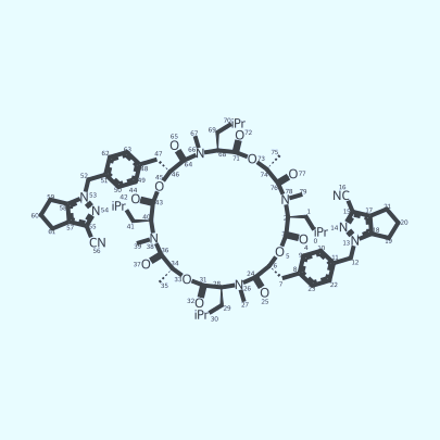 CC(C)C[C@H]1C(=O)O[C@H](Cc2ccc(Cn3nc(C#N)c4c3CCC4)cc2)C(=O)N(C)[C@@H](CC(C)C)C(=O)O[C@H](C)C(=O)N(C)[C@@H](CC(C)C)C(=O)O[C@H](Cc2ccc(Cn3nc(C#N)c4c3CCC4)cc2)C(=O)N(C)[C@@H](CC(C)C)C(=O)O[C@H](C)C(=O)N1C